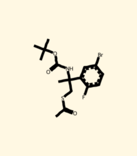 CC(=O)SCC(C)(NC(=O)OC(C)(C)C)c1cc(Br)ccc1F